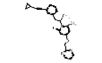 Cc1cc(OCc2ncccn2)cc(=O)n1[C@H](C)Cc1cccc(C#CC2CC2)c1